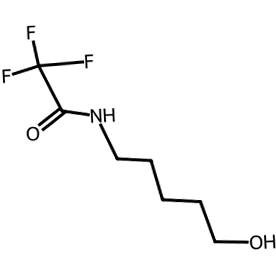 O=C(NCCCCCO)C(F)(F)F